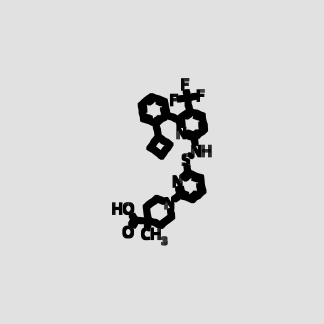 CC1(C(=O)O)CCN(c2cccc(SNc3ccc(C(F)(F)F)c(-c4ccccc4C4CCC4)n3)n2)CC1